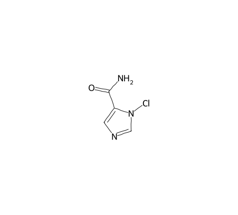 NC(=O)c1cncn1Cl